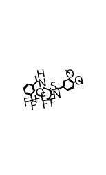 COc1ccc(-c2nc(C(F)(F)F)c(C(=O)NC(C)c3cccc(C(F)(F)F)c3)s2)cc1OC